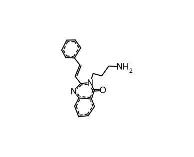 NCCCn1c(/C=C/c2ccccc2)nc2ccccc2c1=O